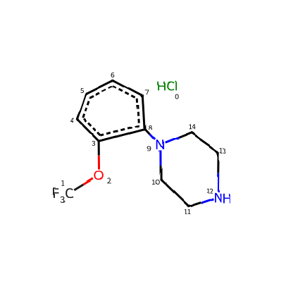 Cl.FC(F)(F)Oc1ccccc1N1CCNCC1